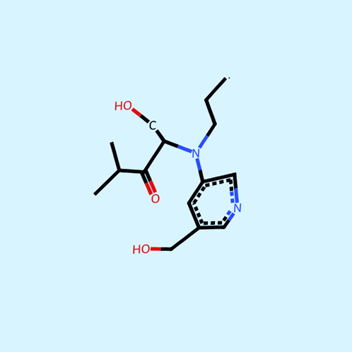 [CH2]CCN(c1cncc(CO)c1)C(CO)C(=O)C(C)C